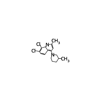 Cc1cc(N2CCCC(C)C2)c2ccc(Cl)c(Cl)c2n1